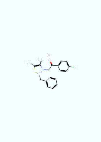 Cc1s[c+](Cc2ccccc2)n(CC(=O)c2ccc(Cl)cc2)c1C.[Br-]